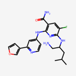 CC(C)CC(CN)Nc1nc(Nc2ccnc(-c3ccoc3)c2)c(C(N)=O)cc1F